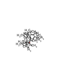 CCC(Cc1cc(C(C)(C)C)c(O)c(C(C)(C)C)c1)(P(=O)(OC(C)C)OC(C)C)P(=O)(OC(C)C)OC(C)C